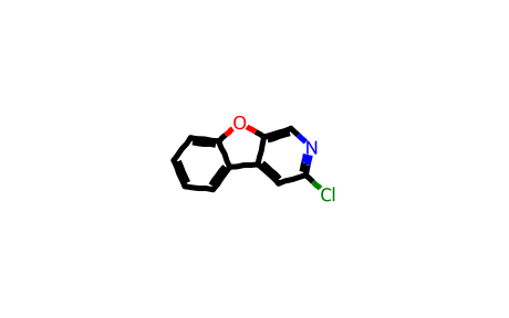 Clc1cc2c(cn1)oc1ccccc12